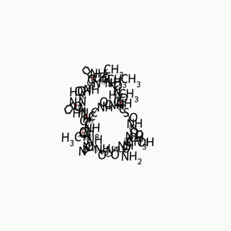 CCCC[C@H]1C(=O)N(C)[C@@H](CCCC)C(=O)N[C@@H](C)C(=O)N[C@H]2CSCC(=O)N[C@@H](Cc3ccc(O)cc3)C(=O)N(C)[C@@H](C)C(=O)N[C@@H](CC(N)=O)C(=O)N3CCCC3C(=O)N[C@@H](Cc3cnc[nH]3)C(=O)N[C@@H](CC(C)C)C(=O)NC[C@@H](CCCNC(=O)CNC2=O)C(=O)N[C@@H](Cc2c[nH]c3ccccc23)C(=O)N[C@@H](CO)C(=O)N[C@@H](Cc2c[nH]c3ccccc23)C(=O)N1C